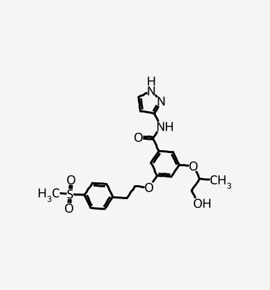 CC(CO)Oc1cc(OCCc2ccc(S(C)(=O)=O)cc2)cc(C(=O)Nc2cc[nH]n2)c1